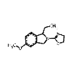 CCC1c2ccc(OC)cc2CN1C1=NCCO1